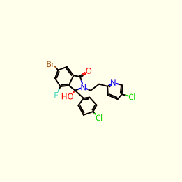 O=C1c2cc(Br)cc(F)c2C(O)(c2ccc(Cl)cc2)N1CCc1ccc(Cl)cn1